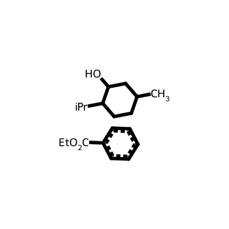 CC1CCC(C(C)C)C(O)C1.CCOC(=O)c1ccccc1